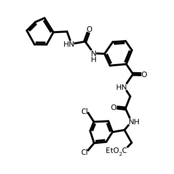 CCOC(=O)CC(NC(=O)CNC(=O)c1cccc(NC(=O)NCc2ccccc2)c1)c1cc(Cl)cc(Cl)c1